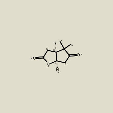 CC1(C)C(=O)C[C@H]2OC(=O)C[C@]21C